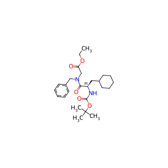 CCOC(=O)CN(Cc1ccccc1)C(=O)[C@@H](CC1CCCCC1)NC(=O)OC(C)(C)C